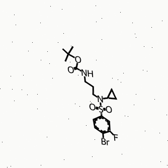 CC(C)(C)OC(=O)NCCCN(C1CC1)S(=O)(=O)c1ccc(Br)c(F)c1